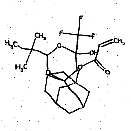 C=CC(=O)OC12CC3CC(C1)C1(CC(O)(C(F)(F)F)OC(C(C)(C)C)O1)C(C3)C2